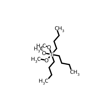 CCC[CH2][Ti]([CH2]CCC)([CH2]CCC)([O]C)([O]C)[O]C